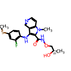 CSc1ccc(Nc2c(C(=O)NOC[C@H](C)O)n(C)c3ccncc23)c(F)c1